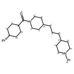 CC(C)C1CCC(C(=O)N2CCC(CCCC3CCN(C(C)C)CC3)CC2)CC1